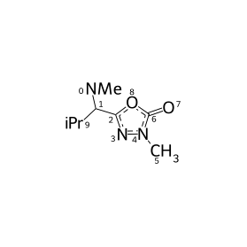 CNC(c1nn(C)c(=O)o1)C(C)C